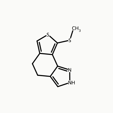 CSc1scc2c1-c1n[nH]cc1CC2